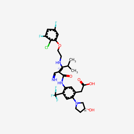 CC(C)/C(NCCOc1cc(F)cc(F)c1Cl)=C(/C=N)C(=O)Nc1cc(CC(=O)O)c(N2CC[C@@H](O)C2)cc1C(F)(F)F